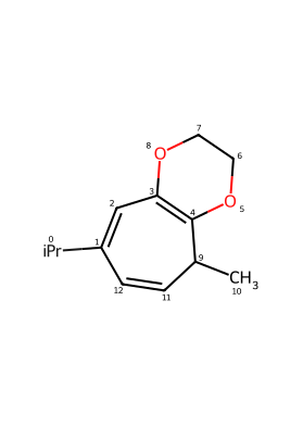 CC(C)C1=CC2=C(OCCO2)C(C)C=C1